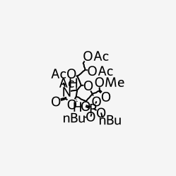 CCCCOP(=O)(OCCCC)O[C@]1(C(=O)OC)C[C@H]2OC(=O)N(C(C)=O)[C@H]2C([C@H](OC(C)=O)[C@@H](COC(C)=O)OC(C)=O)O1